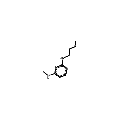 CCCCNc1nccc(NC)n1